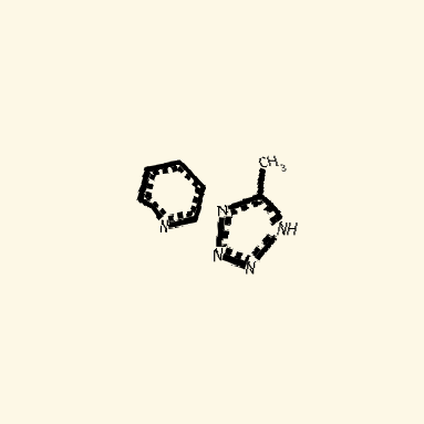 Cc1nnn[nH]1.c1ccncc1